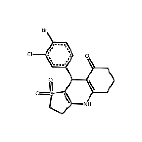 O=C1CCCC2=C1C(c1ccc(Br)c(Cl)c1)C1=C(CCS1(=O)=O)N2